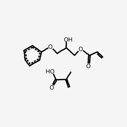 C=C(C)C(=O)O.C=CC(=O)OCC(O)COc1ccccc1